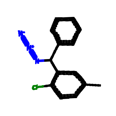 Cc1ccc(Cl)c(C(N=[N+]=[N-])c2ccccc2)c1